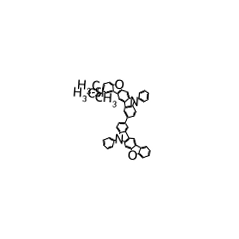 C[Si](C)(C)c1ccc2oc3cc4c(cc3c2c1)c1cc(-c2ccc3c(c2)c2cc5c(cc2n3-c2ccccc2)oc2ccccc25)ccc1n4-c1ccccc1